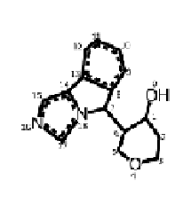 OC1CCOCC1C1c2ccccc2-c2cncn21